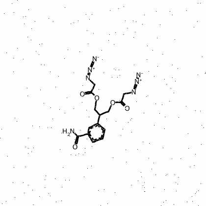 [N-]=[N+]=NCC(=O)OCC(COC(=O)CN=[N+]=[N-])c1cccc(C(N)=O)c1